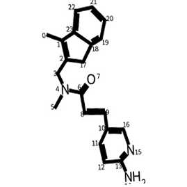 CC1=C(CN(C)C(=O)C=Cc2ccc(N)nc2)Cc2ccccc21